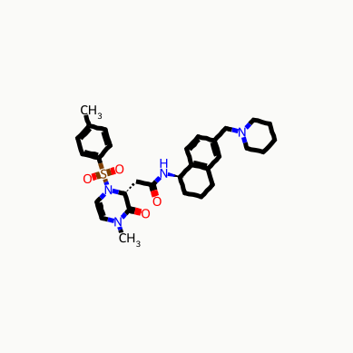 Cc1ccc(S(=O)(=O)N2C=CN(C)C(=O)[C@H]2CC(=O)N[C@@H]2CCCc3cc(CN4CCCCC4)ccc32)cc1